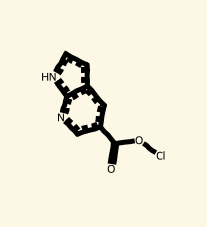 O=C(OCl)c1cnc2[nH]ccc2c1